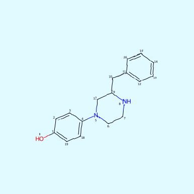 Oc1ccc(N2CCNC(Cc3ccccc3)C2)cc1